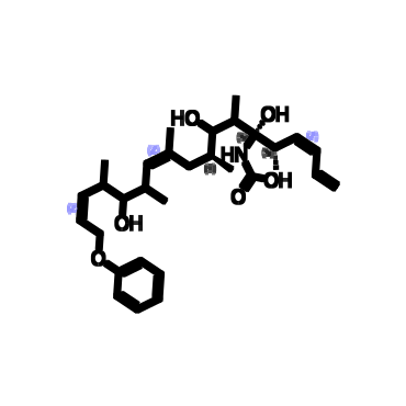 C=C/C=C\[C@H](C)[C@@](O)(NC(=O)O)C(C)C(O)[C@@H](C)C/C(C)=C\C(C)C(O)C(C)/C=C\COc1ccccc1